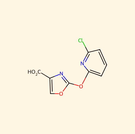 O=C(O)c1coc(Oc2cccc(Cl)n2)n1